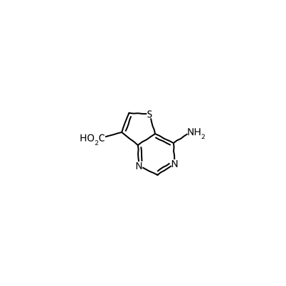 Nc1ncnc2c(C(=O)O)csc12